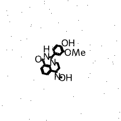 COc1cc(C2NC(=O)c3cccc4c3N2CCC4=NO)ccc1O